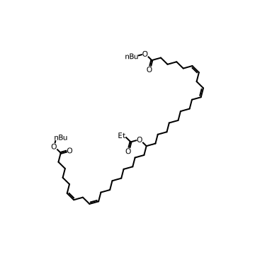 CCCCOC(=O)CCCC/C=C\C/C=C\CCCCCCCCC(CCCCCCCC/C=C\C/C=C\CCCCC(=O)OCCCC)OC(=O)CC